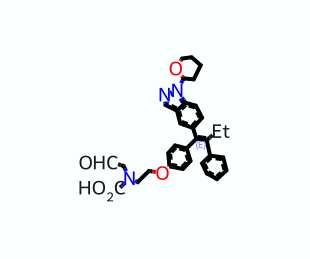 CC/C(=C(/c1ccc(OCCN(CC=O)C(=O)O)cc1)c1ccc2c(cnn2C2CCCCO2)c1)c1ccccc1